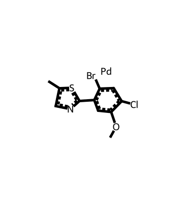 COc1cc(-c2ncc(C)s2)c(Br)cc1Cl.[Pd]